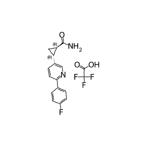 NC(=O)[C@@H]1C[C@H]1c1ccc(-c2ccc(F)cc2)nc1.O=C(O)C(F)(F)F